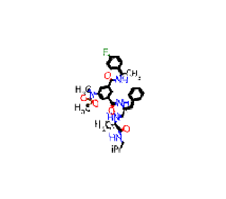 CC(C)CNC(=O)[C@@H](C)NC[C@H](Cc1ccccc1)NC(=O)c1cc(C(=O)N[C@H](C)c2ccc(F)cc2)cc(N(C)S(C)(=O)=O)c1